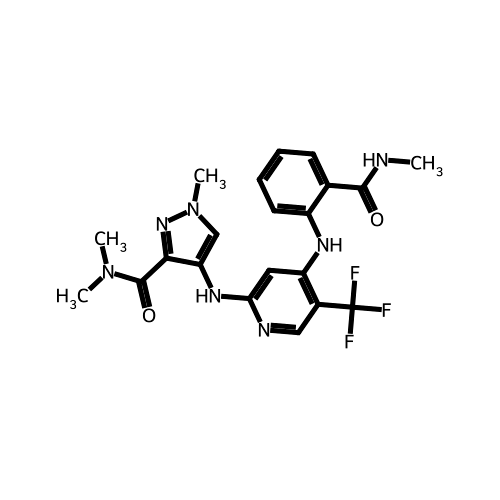 CNC(=O)c1ccccc1Nc1cc(Nc2cn(C)nc2C(=O)N(C)C)ncc1C(F)(F)F